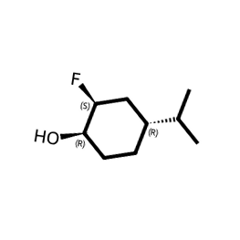 CC(C)[C@@H]1CC[C@@H](O)[C@@H](F)C1